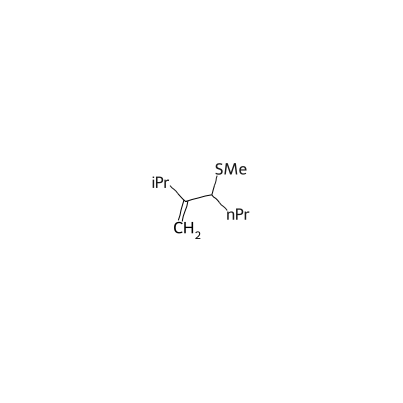 C=C(C(C)C)C(CCC)SC